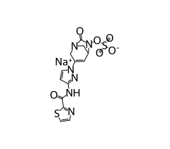 O=C(Nc1ccn(C2=CC3CN(C2)C(=O)N3OS(=O)(=O)[O-])n1)c1nccs1.[Na+]